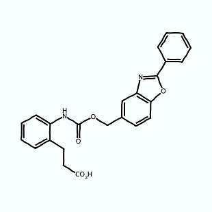 O=C(O)CCc1ccccc1NC(=O)OCc1ccc2oc(-c3ccccc3)nc2c1